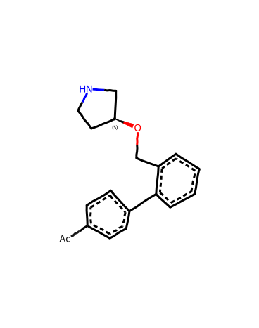 CC(=O)c1ccc(-c2ccccc2CO[C@H]2CCNC2)cc1